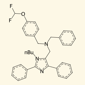 CCCCn1c(-c2ccccc2)nc(-c2ccccc2)c1CN(Cc1ccccc1)Cc1ccc(OC(F)F)cc1